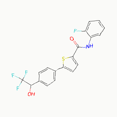 O=C(Nc1ccccc1F)c1ccc(-c2ccc(C(O)C(F)(F)F)cc2)s1